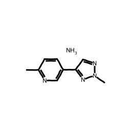 Cc1ccc(-c2cnn(C)n2)cn1.N